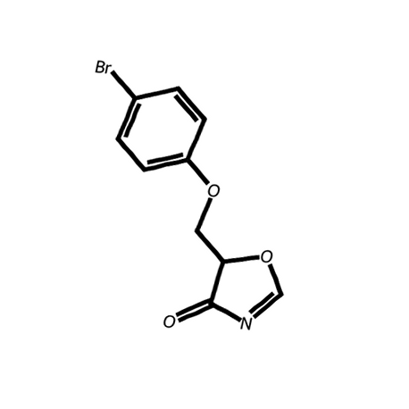 O=C1N=COC1COc1ccc(Br)cc1